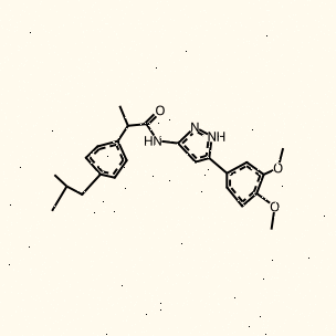 COc1ccc(-c2cc(NC(=O)C(C)c3ccc(CC(C)C)cc3)n[nH]2)cc1OC